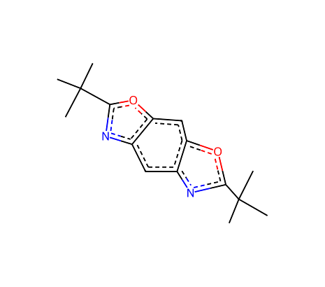 CC(C)(C)c1nc2cc3nc(C(C)(C)C)oc3cc2o1